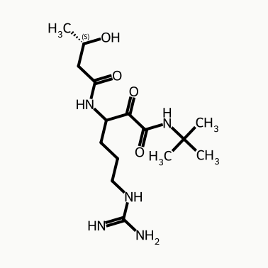 C[C@H](O)CC(=O)NC(CCCNC(=N)N)C(=O)C(=O)NC(C)(C)C